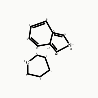 C1CCOCC1.c1ccc2c[nH]cc2c1